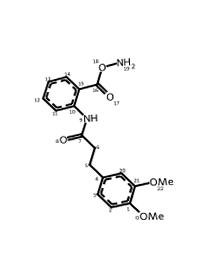 COc1ccc(CCC(=O)Nc2ccccc2C(=O)ON)cc1OC